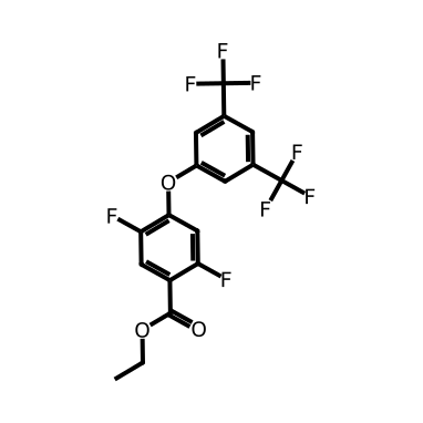 CCOC(=O)c1cc(F)c(Oc2cc(C(F)(F)F)cc(C(F)(F)F)c2)cc1F